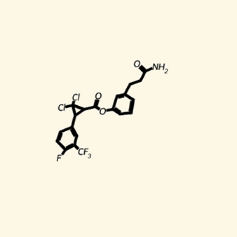 NC(=O)CCc1cccc(OC(=O)C2C(c3ccc(F)c(C(F)(F)F)c3)C2(Cl)Cl)c1